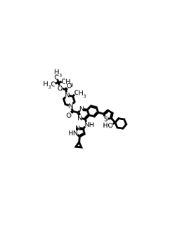 CC1CN(C(=O)c2nc(Nc3cc(C4CC4)[nH]n3)c3cc(-c4ccc(C5(O)CCCCC5)s4)ccc3n2)CCN1C(=O)OC(C)(C)C